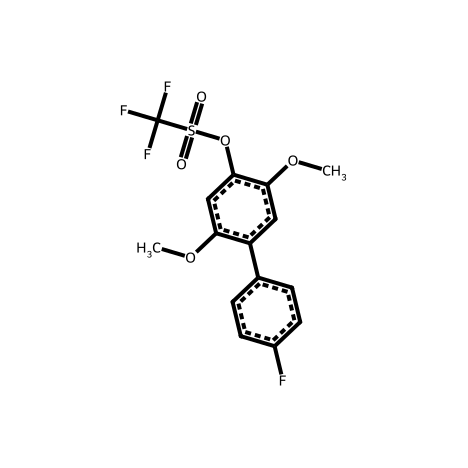 COc1cc(-c2ccc(F)cc2)c(OC)cc1OS(=O)(=O)C(F)(F)F